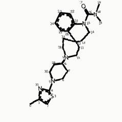 Cc1csc(N2CCC(N3CCC4(CCN(C(=O)N(C)C)c5ccccc54)CC3)CC2)n1